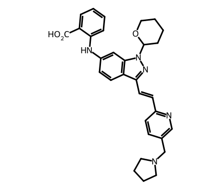 O=C(O)c1ccccc1Nc1ccc2c(/C=C/c3ccc(CN4CCCC4)cn3)nn(C3CCCCO3)c2c1